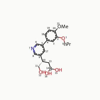 CCCOc1cc(-c2cncc([C@@H](CO)CB(O)O)c2)ccc1OC